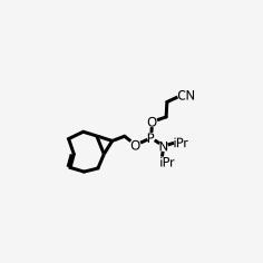 CC(C)N(C(C)C)P(OCCC#N)OCC1C2CC/C=C/CCC21